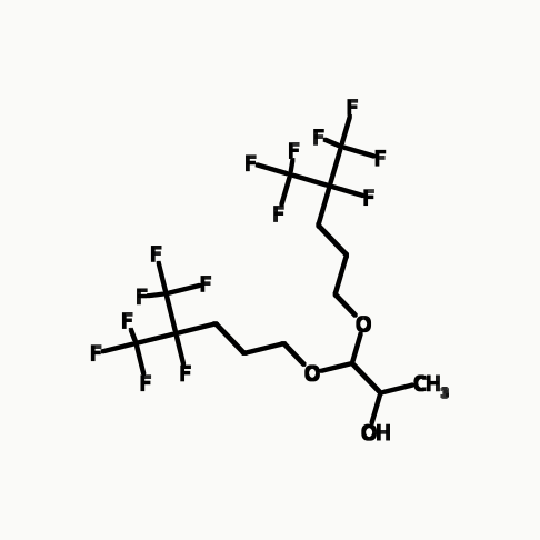 CC(O)C(OCCCC(F)(C(F)(F)F)C(F)(F)F)OCCCC(F)(C(F)(F)F)C(F)(F)F